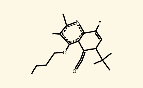 CCCCOc1c(C)c(C)nc2c1C(=C=O)C(C(C)(C)C)C=C2F